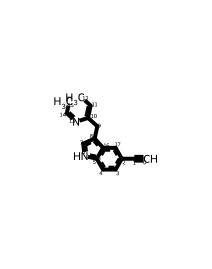 C#Cc1ccc2[nH]cc(CC(=C/C)/N=C\C)c2c1